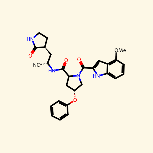 COc1cccc2[nH]c(C(=O)N3C[C@H](Oc4ccccc4)CC3C(=O)N[C@H](C#N)C[C@@H]3CCNC3=O)cc12